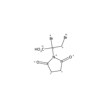 O=C1CCC(=O)N1C(Br)(CBr)C(=O)O